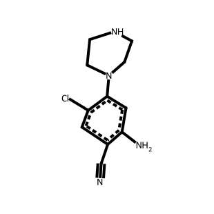 N#Cc1cc(Cl)c(N2CCNCC2)cc1N